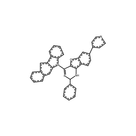 c1ccc(C2N=C(n3c4ccccc4c4cc5ccccc5cc43)c3oc4cc(-c5ccncc5)ccc4c3N2)cc1